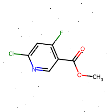 COC(=O)c1cnc(Cl)cc1F